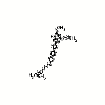 C=C(C)COCCCCCC[C@H]1CC[C@H](c2ccc(-c3ccc(C4O[C@@H](C(=O)OCCCC)[C@H](C(=O)OCCCC)O4)cc3)cc2)CC1